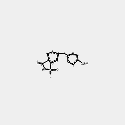 COc1ccc(Cc2ccc3c(c2)S(=O)(=S)NC3=O)cc1